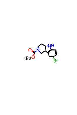 CC(C)(C)OC(=O)N1CCC2NC3=C(CC(Br)C=C3)C2C1